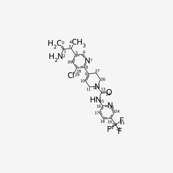 C=C(N)C(C)c1cnc(C2=CCN(C(=O)Nc3ccc(C(F)(F)F)cn3)CC2)c(Cl)c1